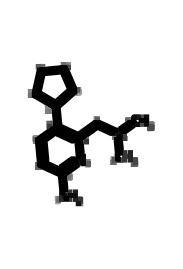 CN(C)Cc1nc(N)ccc1C1CCCC1